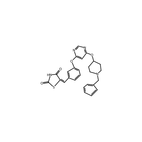 O=C1NC(=O)/C(=C\c2cccc(Oc3cc(OC4CCN(Cc5ccccc5)CC4)ncn3)c2)S1